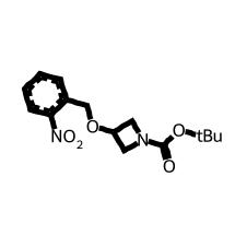 CC(C)(C)OC(=O)N1CC(OCc2ccccc2[N+](=O)[O-])C1